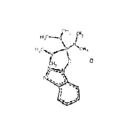 CN(C)[P+](On1nnc2ccccc21)(N(C)C)N(C)C.[Cl-]